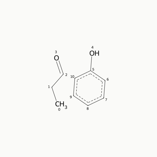 CCC=O.Oc1ccccc1